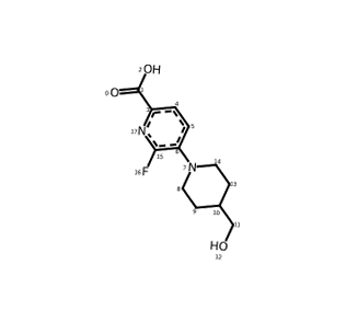 O=C(O)c1ccc(N2CCC(CO)CC2)c(F)n1